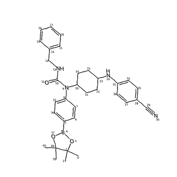 CC1(C)OB(c2ccc(N(C(=O)NCc3ccccc3)C3CCC(Nc4ccc(C#N)cc4)CC3)cc2)OC1(C)C